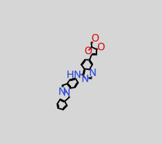 O=CC1OC(c2ccc3c(Nc4ccc5c(cnn5Cc5ccccc5)c4)ncnc3c2)=CC1=O